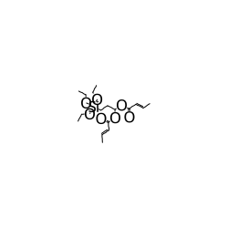 CC=CC(=O)OC(CC[Si](OCC)(OCC)OCC)OC(=O)C=CC